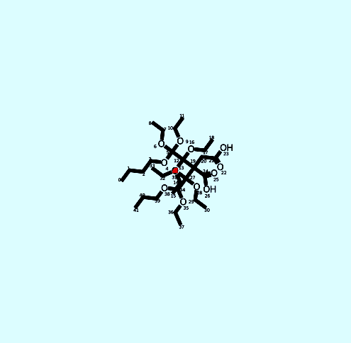 CCCCOC(OCC)(OCC)C(OCC)(OCC)C(CC(=O)O)(C(=O)O)C(OCC)(OCC)C(OCC)OCCC